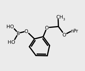 CCCOC(C)Oc1ccccc1OB(O)O